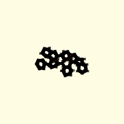 c1ccc(-c2ccc(N(c3ccccc3-c3ccc4ccccc4c3)c3ccccc3-c3cccc4oc5ccccc5c34)cc2)cc1